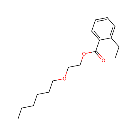 CCCCCCOCCOC(=O)c1ccccc1CC